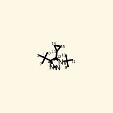 CC(C)(C)c1nnn(C(C)(C)C)c1C1CC1